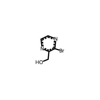 OCc1nccnc1Br